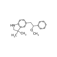 COC(Cc1ccc2c(c1)C(C)(C)CN2)c1ccccc1